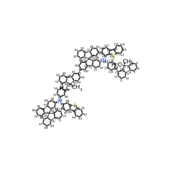 CC1(C)c2ccccc2-c2cccc(-c3ccc(N(c4ccc5c(c4)C4(c6ccccc6-c6ccccc64)c4ccc(-c6ccc7c(c6)-c6cccc(-c8ccc(N(c9ccc%10c(c9)C9(c%11ccccc%11-c%11ccccc%119)c9ccccc9-%10)c9ccc%10c(c9)sc9ccccc9%10)cc8)c6C7(C)C)cc4-5)c4cccc5c4sc4ccccc45)cc3)c21